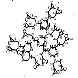 C(CN(CC1CO1)c1nc(N(CC2CO2)CC2CO2)nc(N(CC2CO2)c2nc(N(CC3CO3)c3nc(N(CC4CO4)CC4CO4)nc(N(CC4CO4)CC4CO4)n3)nc(N(CC3CO3)c3nc(N(CC4CO4)CC4CO4)nc(N(CC4CO4)CC4CO4)n3)n2)n1)C1CO1